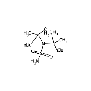 CCCCC(C)(C)N(C(C)(C)CCCC)S(N)(=O)=O